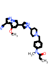 C=CC(=O)N(C)c1ccc(CN2CCC(n3cc(-c4cc(OC)c5c(C#N)cnn5c4)cn3)CC2)cc1